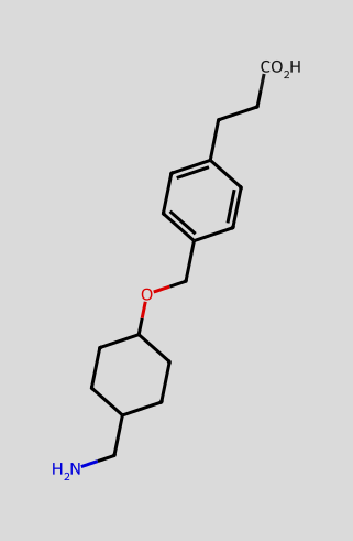 NCC1CCC(OCc2ccc(CCC(=O)O)cc2)CC1